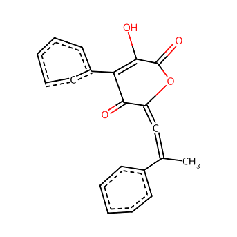 CC(=C=C1OC(=O)C(O)=C(c2ccccc2)C1=O)c1ccccc1